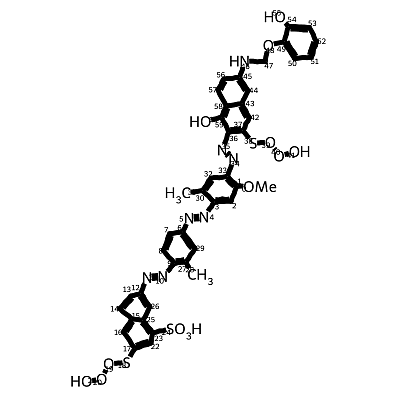 COc1cc(N=Nc2ccc(N=Nc3ccc4cc(SOOO)cc(S(=O)(=O)O)c4c3)c(C)c2)c(C)cc1N=Nc1c(SOOO)cc2cc(NCOc3ccccc3O)ccc2c1O